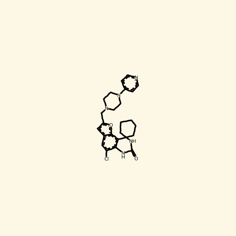 O=C1Nc2c(Cl)cc3cc(CN4CCN(c5ccncc5)CC4)oc3c2C2(CCCCC2)N1